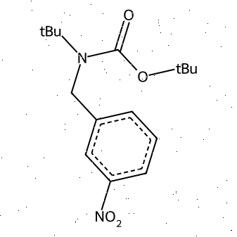 CC(C)(C)OC(=O)N(Cc1cccc([N+](=O)[O-])c1)C(C)(C)C